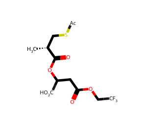 CC(=O)SC[C@@H](C)C(=O)OC(CC(=O)OCC(F)(F)F)C(=O)O